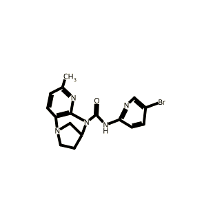 Cc1ccc2c(n1)N(C(=O)Nc1ccc(Br)cn1)C1CCN2C1